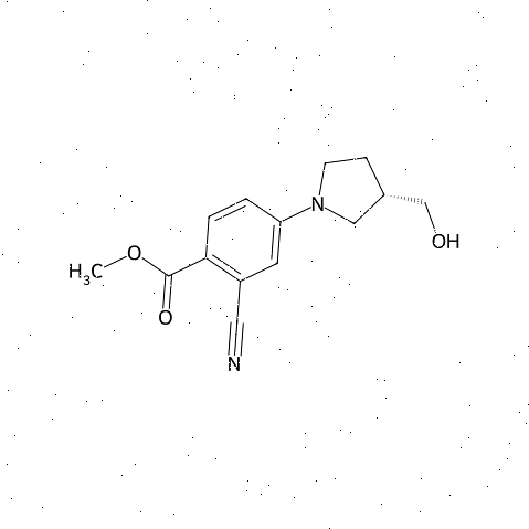 COC(=O)c1ccc(N2CC[C@H](CO)C2)cc1C#N